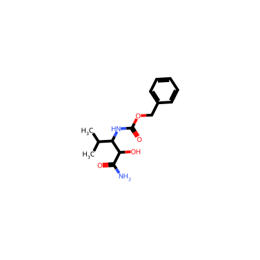 CC(C)C(NC(=O)OCc1ccccc1)C(O)C(N)=O